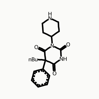 CCCCC1(c2ccccc2)C(=O)NC(=O)N(C2CCNCC2)C1=O